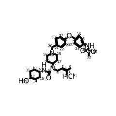 CC(C)=CCN(C(=O)N[C@H]1CC[C@@H](O)CC1)C1CCN(Cc2ccc(Oc3ccc(NS(C)(=O)=O)cc3)cc2)CC1.Cl